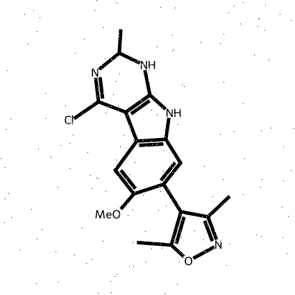 COc1cc2c3c([nH]c2cc1-c1c(C)noc1C)NC(C)N=C3Cl